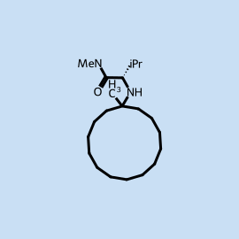 CNC(=O)[C@@H](NC1(C)CCCCCCCCCCCCC1)C(C)C